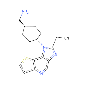 N#CCc1nc2cnc3ccsc3c2n1[C@H]1CC[C@H](CN)CC1